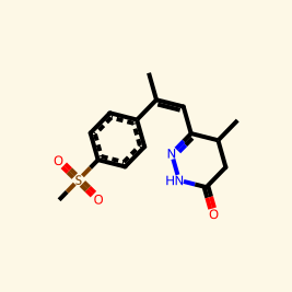 CC(=CC1=NNC(=O)CC1C)c1ccc(S(C)(=O)=O)cc1